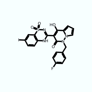 O=c1c(C2=NS(=O)(=O)c3cc(I)ccc3N2)c(O)c2cccn2n1Cc1ccc(F)cc1